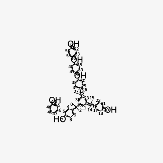 CC(C)(c1ccc(O)cc1)c1cc(C(C)(C)c2ccc(O)cc2)cc(C(C)(C)c2ccc(O)cc2)c1.Oc1ccccc1.Oc1ccccc1.Oc1ccccc1